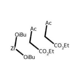 CC(C)C[O][Zr][O]CC(C)C.CCOC(=O)CC(C)=O.CCOC(=O)CC(C)=O